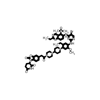 CCc1ncc2c(P(C)(C)=O)c(Nc3nc(Nc4cc(CC)c(N5CCC(N6CCN(C(=O)Cc7ccc8c(c7)oc(=O)n8C7CCC(=O)NC7=O)CC6)CC5)cc4OC)ncc3Br)ccc2n1